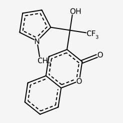 Cn1cccc1C(O)(c1cc2ccccc2oc1=O)C(F)(F)F